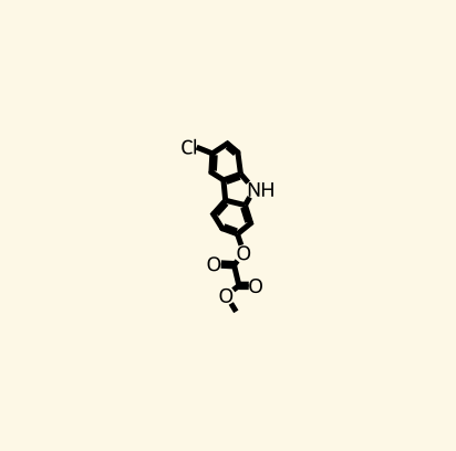 COC(=O)C(=O)Oc1ccc2c(c1)[nH]c1ccc(Cl)cc12